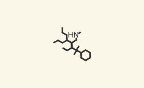 CCCC(CCC)C(CNC)C(CC)C(C)(C)C1CCCCC1